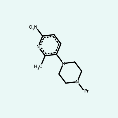 Cc1nc([N+](=O)[O-])ccc1N1CCN(C(C)C)CC1